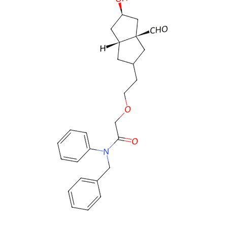 O=C[C@@]12CC(CCOCC(=O)N(Cc3ccccc3)c3ccccc3)C[C@@H]1C[C@@H](O)C2